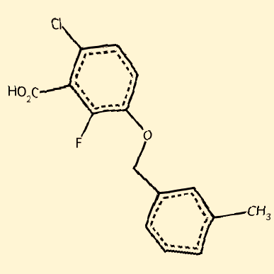 Cc1cccc(COc2ccc(Cl)c(C(=O)O)c2F)c1